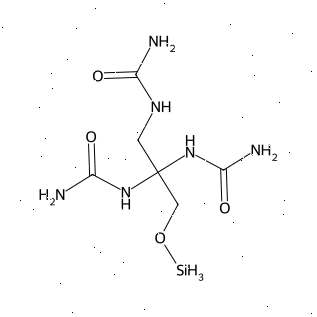 NC(=O)NCC(CO[SiH3])(NC(N)=O)NC(N)=O